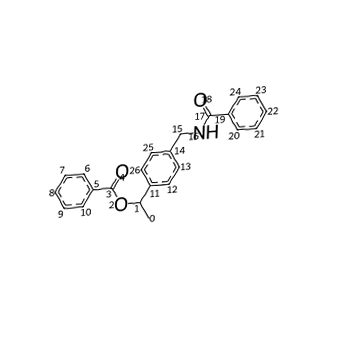 CC(OC(=O)c1ccccc1)c1ccc(CNC(=O)c2ccccc2)cc1